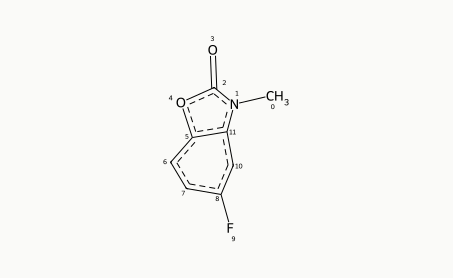 Cn1c(=O)oc2ccc(F)cc21